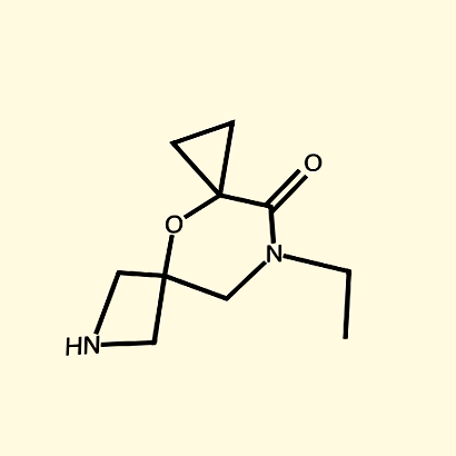 CCN1CC2(CNC2)OC2(CC2)C1=O